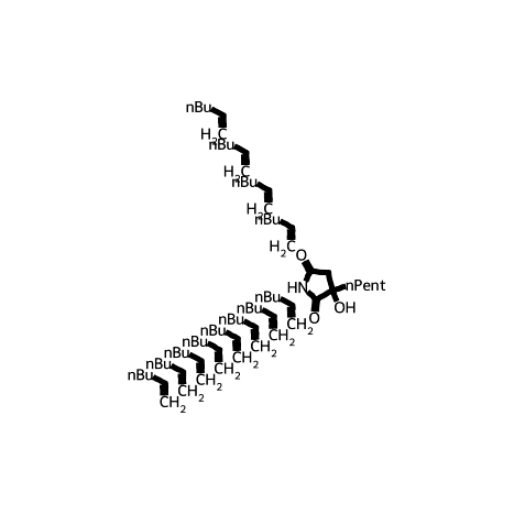 C=CCCCC.C=CCCCC.C=CCCCC.C=CCCCC.C=CCCCC.C=CCCCC.C=CCCCC.C=CCCCC.C=CCCCC.C=CCCCC.C=CCCCC.C=CCCCC.CCCCCC1(O)CC(=O)NC1=O